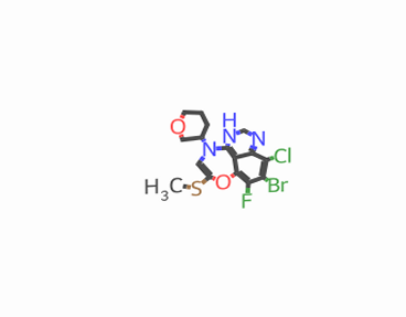 CSC1=CN(C2CCCOC2)C2=c3c(c(F)c(Br)c(Cl)c3=NCN2)O1